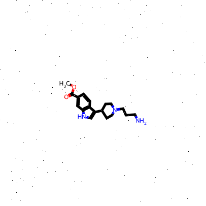 COC(=O)c1ccc2c(C3CCN(CCCN)CC3)c[nH]c2c1